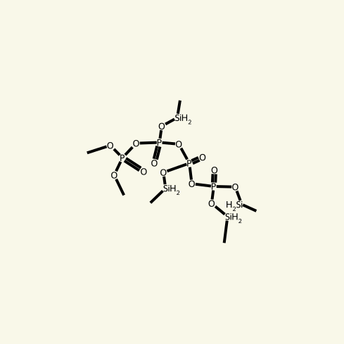 COP(=O)(OC)OP(=O)(O[SiH2]C)OP(=O)(O[SiH2]C)OP(=O)(O[SiH2]C)O[SiH2]C